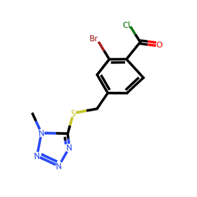 Cn1nnnc1SCc1ccc(C(=O)Cl)c(Br)c1